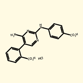 Cl.Nc1nc(Nc2ccc(C(=O)O)cc2)ncc1-c1ccccc1C(=O)O